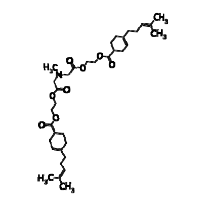 CC(C)=CCCC1=CCC(C(=O)OCCOC(=O)CN(C)CC(=O)OCCOC(=O)C2CC=C(CCC=C(C)C)CC2)CC1